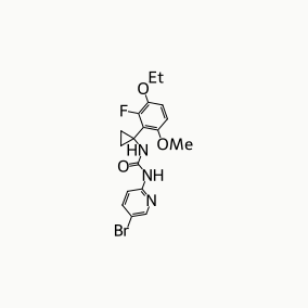 CCOc1ccc(OC)c(C2(NC(=O)Nc3ccc(Br)cn3)CC2)c1F